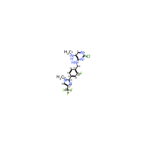 CNc1cnc(Cl)nc1NCc1ccc(-c2nc(C(F)(F)F)cn2C)cc1F